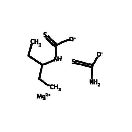 CCC(CC)NC([O-])=S.NC([O-])=S.[Mg+2]